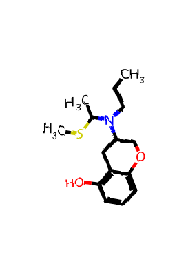 CCCN(C1COc2cccc(O)c2C1)C(C)SC